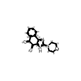 O=C1C(=O)c2[nH]c(N3CCOCC3)nc2-c2ccccc21